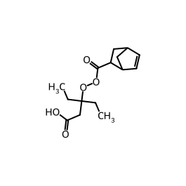 CCC(CC)(CC(=O)O)OOC(=O)C1CC2C=CC1C2